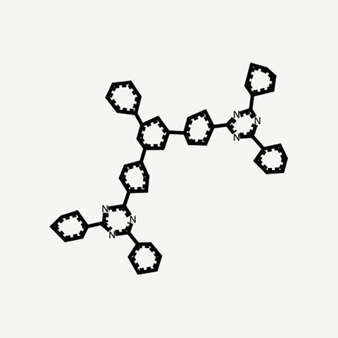 c1ccc(-c2cc(-c3ccc(-c4nc(-c5ccccc5)nc(-c5ccccc5)n4)cc3)cc(-c3ccc(-c4nc(-c5ccccc5)nc(-c5ccccc5)n4)cc3)c2)cc1